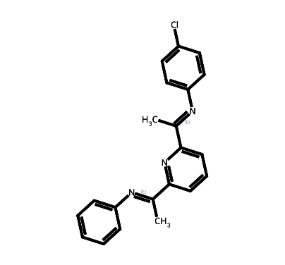 C/C(=N\c1ccccc1)c1cccc(/C(C)=N/c2ccc(Cl)cc2)n1